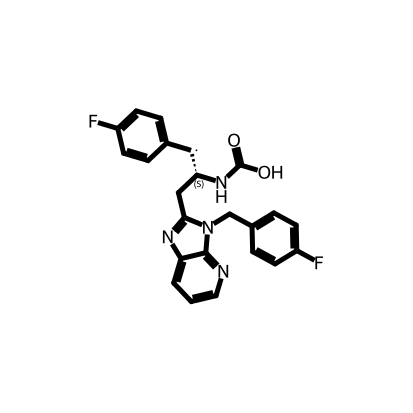 O=C(O)N[C@@H]([CH]c1ccc(F)cc1)Cc1nc2cccnc2n1Cc1ccc(F)cc1